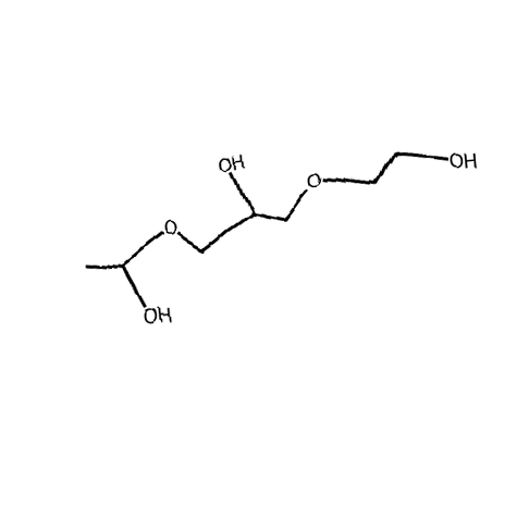 CC(O)OCC(O)COCCO